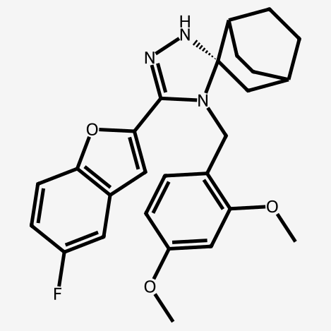 COc1ccc(CN2C(c3cc4cc(F)ccc4o3)=NN[C@]23CC2CCC3CC2)c(OC)c1